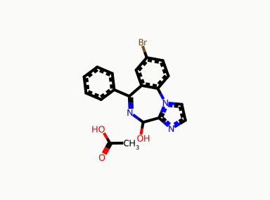 CC(=O)O.OC1N=C(c2ccccc2)c2cc(Br)ccc2-n2ccnc21